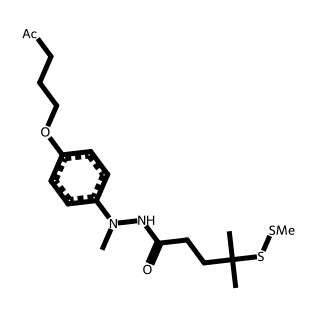 CSSC(C)(C)CCC(=O)NN(C)c1ccc(OCCCC(C)=O)cc1